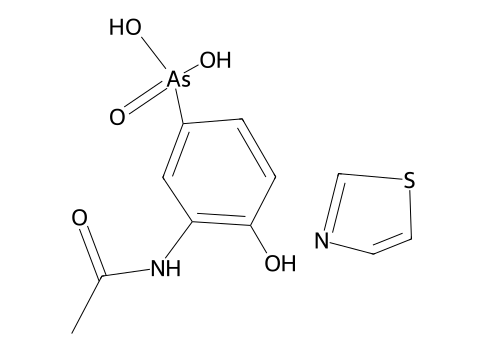 CC(=O)Nc1cc([As](=O)(O)O)ccc1O.c1cscn1